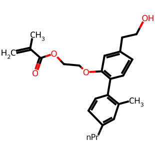 C=C(C)C(=O)OCCOc1cc(CCO)ccc1-c1ccc(CCC)cc1C